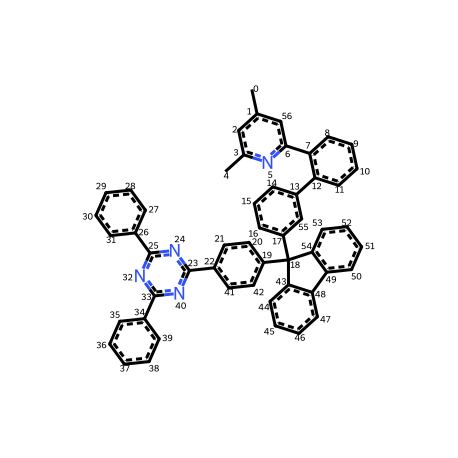 Cc1cc(C)nc(-c2ccccc2-c2cccc(C3(c4ccc(-c5nc(-c6ccccc6)nc(-c6ccccc6)n5)cc4)c4ccccc4-c4ccccc43)c2)c1